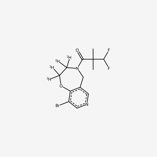 [2H]C1([2H])Oc2c(Br)cncc2CN(C(=O)C(C)(C)C(F)F)C1([2H])[2H]